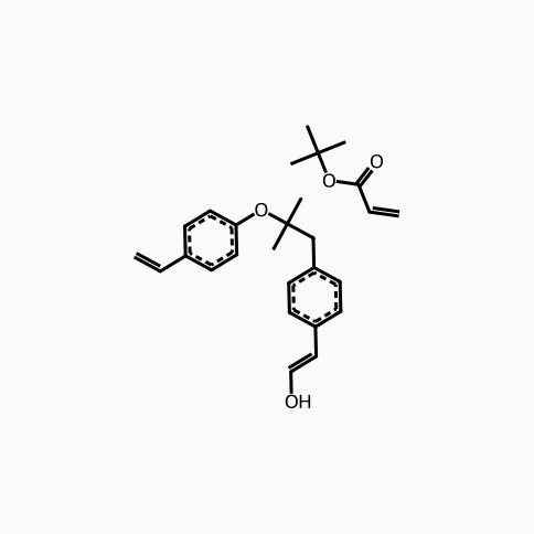 C=CC(=O)OC(C)(C)C.C=Cc1ccc(OC(C)(C)Cc2ccc(C=CO)cc2)cc1